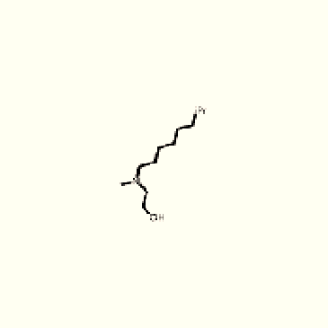 CC(C)CCCCCCN(C)CCO